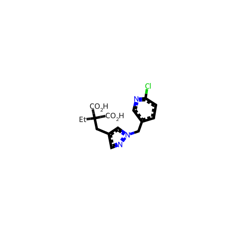 CCC(Cc1cnn(Cc2ccc(Cl)nc2)c1)(C(=O)O)C(=O)O